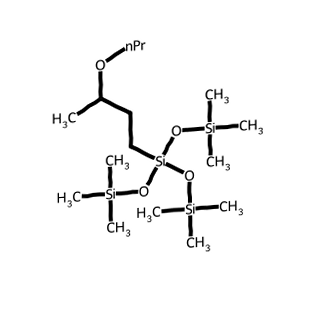 CCCOC(C)CC[Si](O[Si](C)(C)C)(O[Si](C)(C)C)O[Si](C)(C)C